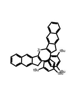 CC(C)(C)c1cc(C2=[C]([Zr][C]3=C(c4cc(C(C)(C)C)cc(C(C)(C)C)c4)Cc4cc5ccccc5cc43)c3cc4ccccc4cc3C2)cc(C(C)(C)C)c1